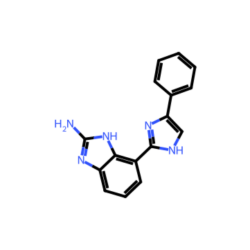 Nc1nc2cccc(-c3nc(-c4ccccc4)c[nH]3)c2[nH]1